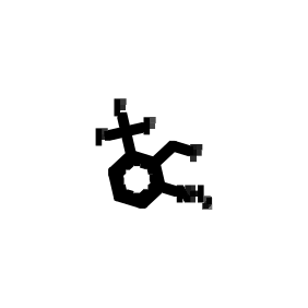 Nc1cccc(C(F)(F)F)c1CF